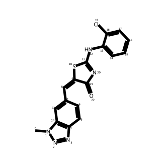 Cn1nnc2ccc(C=C3SC(Nc4ccccc4Cl)=NC3=O)cc21